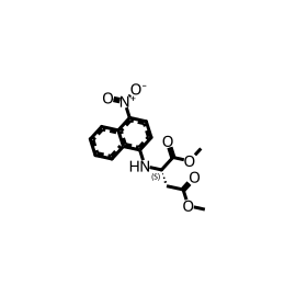 COC(=O)C[C@H](Nc1ccc([N+](=O)[O-])c2ccccc12)C(=O)OC